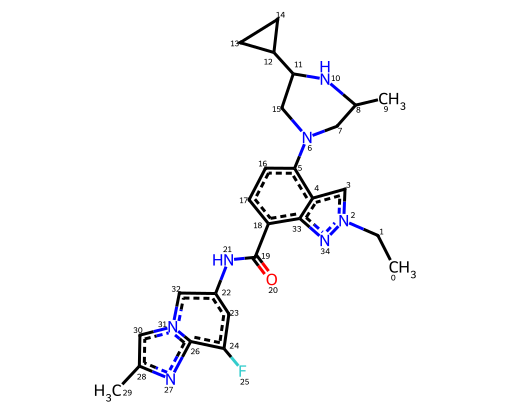 CCn1cc2c(N3CC(C)NC(C4CC4)C3)ccc(C(=O)Nc3cc(F)c4nc(C)cn4c3)c2n1